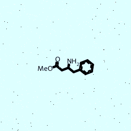 COC(=O)CC(N)Cc1ccccc1